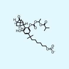 CC(OC(=O)Oc1cc(C(C)(C)CCCCCCO[N+](=O)[O-])cc(O)c1[C@H]1CC(=O)[C@H]2C[C@H]1C2(C)C)OC(=O)C(C)C